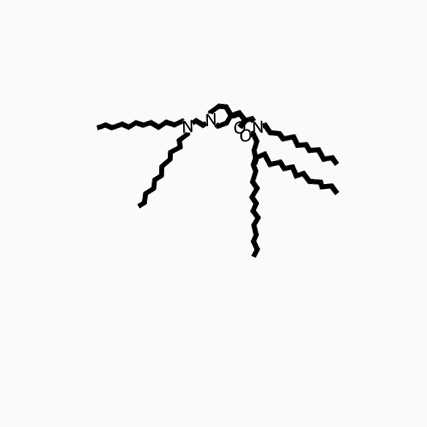 CCCCCCCCCCCC/C=C(\CCCCCCCCCCCC)CCC(=O)N(CCCCCCCCCCCC)CC(=O)/C=C1/CCCN(CCN(CCCCCCCCCCCC)CCCCCCCCCCCC)CC1